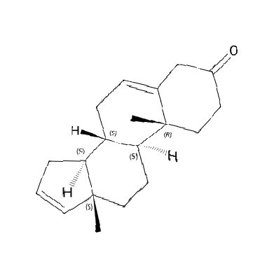 C[C@@]12C=CC[C@H]1[C@@H]1CC=C3CC(=O)CC[C@]3(C)[C@H]1CC2